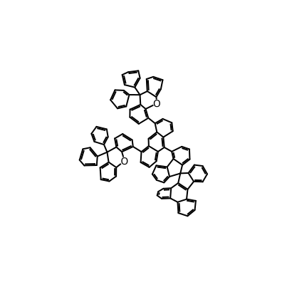 c1ccc(C2(c3ccccc3)c3ccccc3Oc3c(-c4cccc5c(-c6cccc7c6-c6ccccc6C76c7ccccc7-c7c6c6ccccc6c6ccccc76)c6cccc(-c7cccc8c7Oc7ccccc7C8(c7ccccc7)c7ccccc7)c6cc45)cccc32)cc1